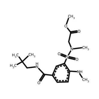 CNc1ccc(C(=O)NCC(C)(C)C)cc1S(=O)(=O)N(C)CC(=O)OC